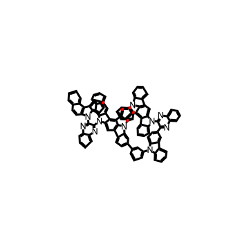 c1cc(-c2ccc3c4cc5c(c6cc7ccccc7cc6n5-c5nc6ccccc6nc5-n5c6ccccc6c6c7ccccc7ccc65)c5c6ccccc6n(c3c2)c45)cc(-n2c3ccccc3c3cc(-c4nc5ccccc5nc4-n4c5ccccc5c5c6c7ccccc7n7c8ccccc8c(cc54)c67)ccc32)c1